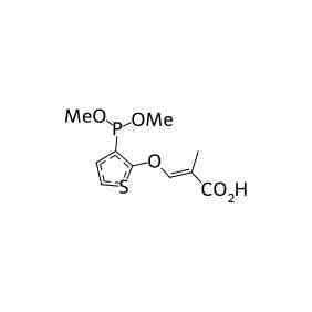 COP(OC)c1ccsc1OC=C(C)C(=O)O